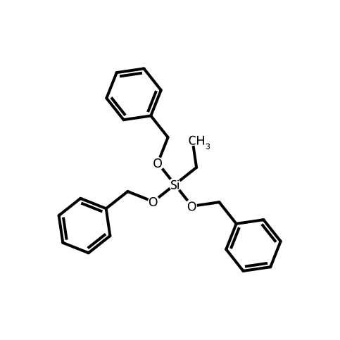 CC[Si](OCc1ccccc1)(OCc1ccccc1)OCc1ccccc1